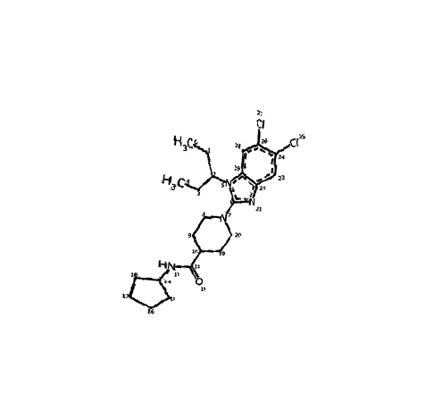 CCC(CC)n1c(N2CCC(C(=O)NC3CCCC3)CC2)nc2cc(Cl)c(Cl)cc21